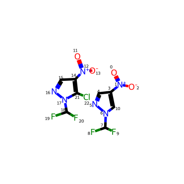 O=[N+]([O-])c1cnn(C(F)F)c1.O=[N+]([O-])c1cnn(C(F)F)c1Cl